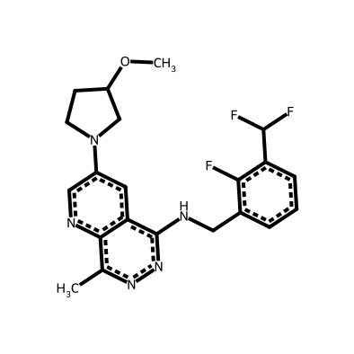 COC1CCN(c2cnc3c(C)nnc(NCc4cccc(C(F)F)c4F)c3c2)C1